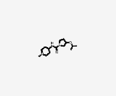 CC(C)OC1CCN(C(=O)NC2CCN(C)CC2)C1